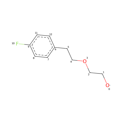 [O]CCOCCc1ccc(F)cc1